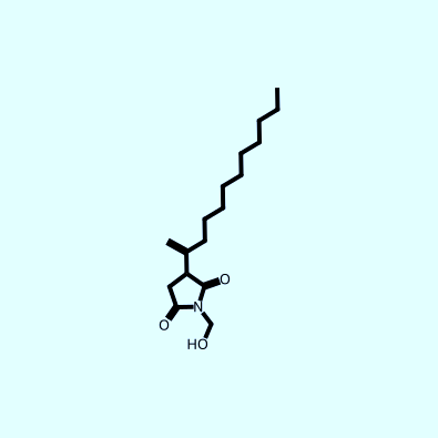 C=C(CCCCCCCCCC)C1CC(=O)N(CO)C1=O